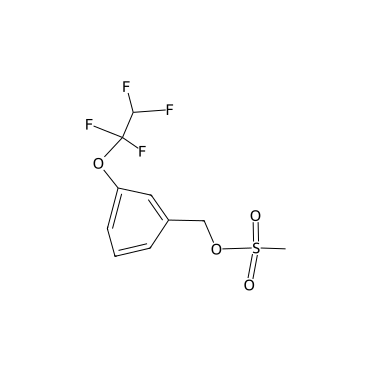 CS(=O)(=O)OCc1cccc(OC(F)(F)C(F)F)c1